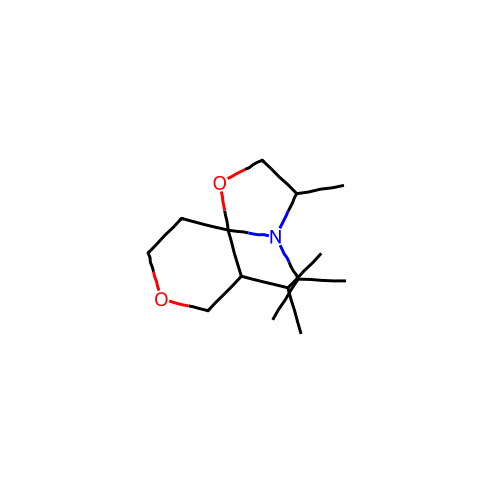 CC(C)C1COCCC12OCC(C)N2C(C)C